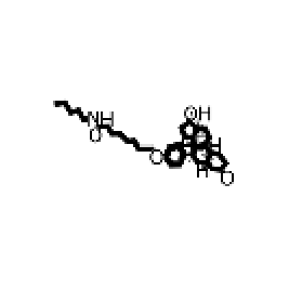 CCCCCNC(=O)CCCCCCCOc1ccc([C@@H]2C[C@H]3CC(=O)CC[C@]3(C)[C@H]3CC[C@]4(C)[C@@H](O)CC[C@H]4[C@H]23)cc1